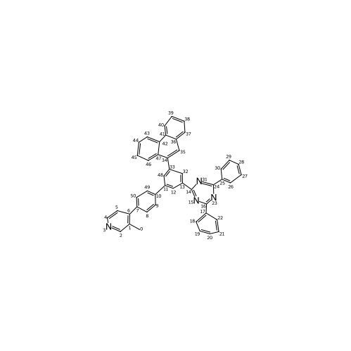 Cc1cnccc1-c1ccc(-c2cc(-c3nc(-c4ccccc4)nc(-c4ccccc4)n3)cc(-c3cc4ccccc4c4ccccc34)c2)cc1